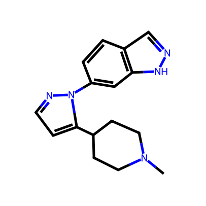 CN1CCC(c2ccnn2-c2ccc3cn[nH]c3c2)CC1